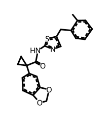 Cc1ccccc1Cc1cnc(NC(=O)C2(c3ccc4c(c3)OCO4)CC2)s1